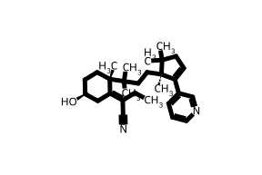 CC/C(C#N)=C1/C[C@@H](O)CC[C@]1(C)C(C)(C)CC[C@]1(C)C(c2cccnc2)=CCC1(C)C